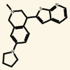 CN1Cc2cc(N3CCCC3)ccc2C(c2cc3cccnc3s2)C1